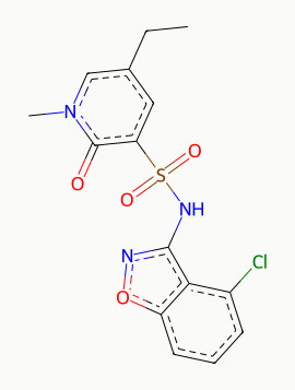 CCc1cc(S(=O)(=O)Nc2noc3cccc(Cl)c23)c(=O)n(C)c1